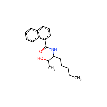 CCCCCC(NC(=O)c1cccc2ccccc12)C(C)O